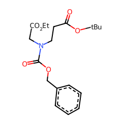 CCOC(=O)CN(CCC(=O)OC(C)(C)C)C(=O)OCc1ccccc1